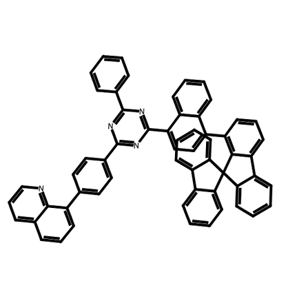 c1ccc(-c2nc(-c3ccc(-c4cccc5cccnc45)cc3)nc(-c3ccc(-c4cccc5c4C4(c6ccccc6-c6ccccc64)c4ccccc4-5)c4ccccc34)n2)cc1